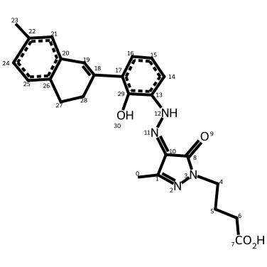 CC1=NN(CCCC(=O)O)C(=O)/C1=N\Nc1cccc(C2=Cc3cc(C)ccc3CC2)c1O